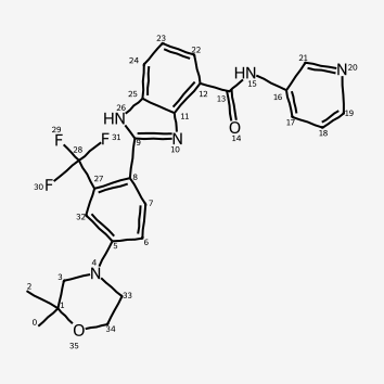 CC1(C)CN(c2ccc(-c3nc4c(C(=O)Nc5cccnc5)cccc4[nH]3)c(C(F)(F)F)c2)CCO1